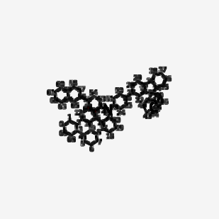 c1ccc(-c2ccccc2-c2ccccc2-c2ccccc2N(c2ccc(-c3ccc4c(c3)C3(c5ccccc5-4)C4CCC5CC(C4)CC3C5)cc2)c2ccc(-c3ccc4ccccc4c3)cc2)cc1